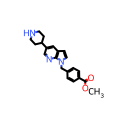 COC(=O)c1ccc(Cn2ccc3cc(C4CCNCC4)cnc32)cc1